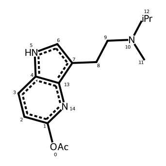 CC(=O)Oc1ccc2[nH]cc(CCN(C)C(C)C)c2n1